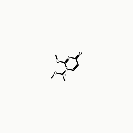 COc1nc(=O)ccn1[C@@H](C)OC